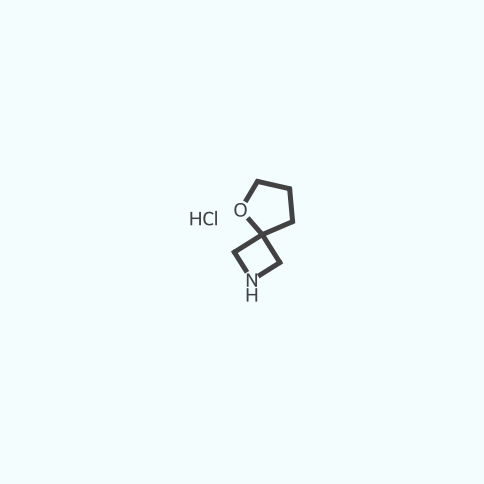 C1COC2(C1)CNC2.Cl